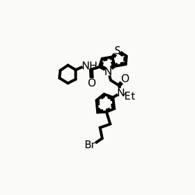 CCN(C(=O)Cn1c(C(=O)NC2CCCCC2)cc2sccc21)c1cccc(CCCBr)c1